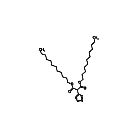 CCCCCCCCCCCCOC(=O)C(C(=O)OCCCCCCCCCCCC)c1ccsc1